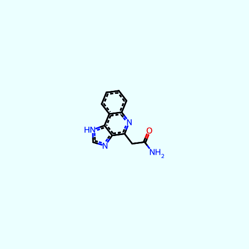 NC(=O)Cc1nc2ccccc2c2[nH]cnc12